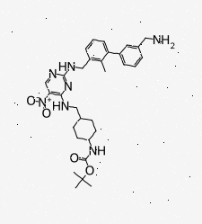 Cc1c(CNc2ncc([N+](=O)[O-])c(NCC3CCC(NC(=O)OC(C)(C)C)CC3)n2)cccc1-c1cccc(CN)c1